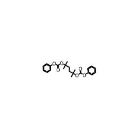 CC(C)(CCC(C)(C)OC(=O)Oc1ccccc1)OC(=O)Oc1ccccc1